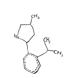 CC1CNC(c2ccccc2C(C)C)C1